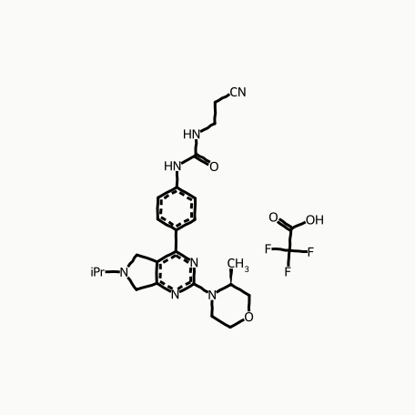 CC(C)N1Cc2nc(N3CCOC[C@@H]3C)nc(-c3ccc(NC(=O)NCCC#N)cc3)c2C1.O=C(O)C(F)(F)F